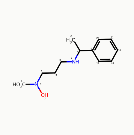 CC(NCCCN(O)C(=O)O)c1ccccc1